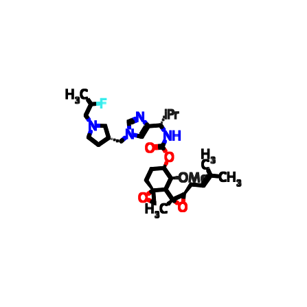 CO[C@H]1C([C@@]2(C)O[C@@H]2CC=C(C)C)[C@]2(CC[C@H]1OC(=O)N[C@H](c1cn(C[C@@H]3CCN(CC(C)F)C3)cn1)C(C)C)CO2